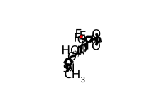 Cc1nc2cc(OC[C@H](O)CN3CCN(c4cc(N5C(=O)CCC5=O)ccc4OC(F)(F)F)CC3)ccc2s1